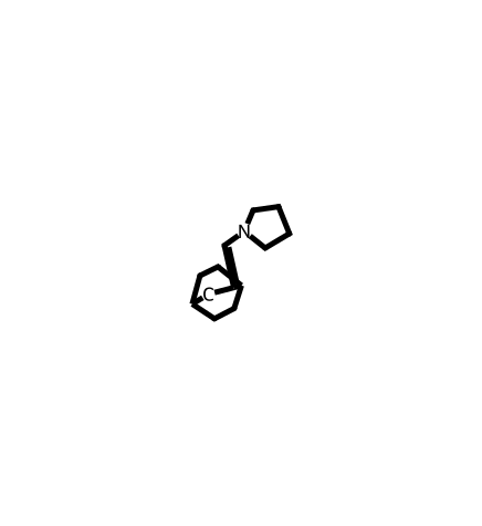 C(=C1CC2CCC1CC2)N1CCCC1